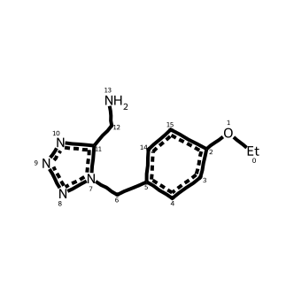 CCOc1ccc(Cn2nnnc2CN)cc1